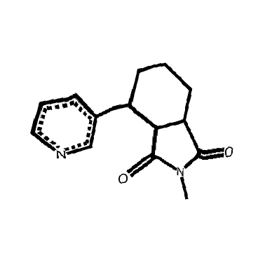 CN1C(=O)C2CCCC(c3cccnc3)C2C1=O